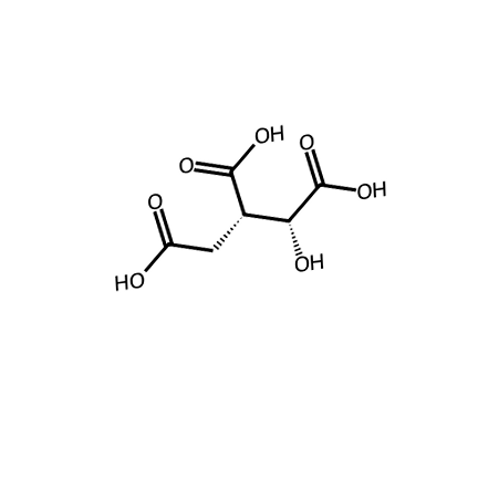 O=C(O)C[C@H](C(=O)O)[C@@H](O)C(=O)O